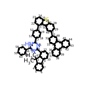 CC1(C)c2ccccc2-c2cccc(C3=NC(c4ccc(-c5cccc6sc7ccc(-c8ccc9c%10ccccc%10c%10ccccc%10c9c8)cc7c56)cc4)NC(c4ccccc4)=N3)c21